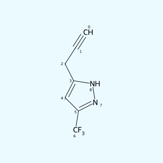 C#CCc1[c]c(C(F)(F)F)n[nH]1